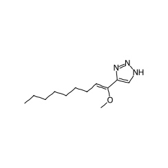 CCCCCCCC=C(OC)c1c[nH]nn1